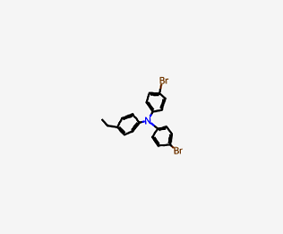 CCc1ccc(N(c2ccc(Br)cc2)c2ccc(Br)cc2)cc1